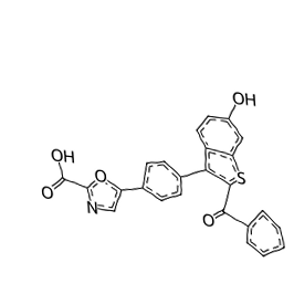 O=C(O)c1ncc(-c2ccc(-c3c(C(=O)c4ccccc4)sc4cc(O)ccc34)cc2)o1